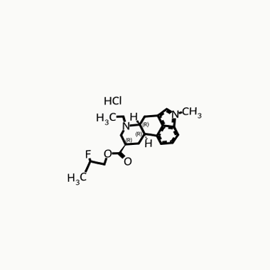 CCN1C[C@H](C(=O)OCC(C)F)C[C@@H]2c3cccc4c3c(cn4C)C[C@H]21.Cl